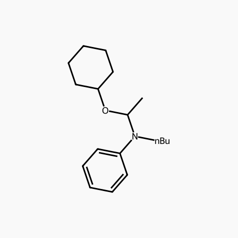 CCCCN(c1ccccc1)C(C)OC1CCCCC1